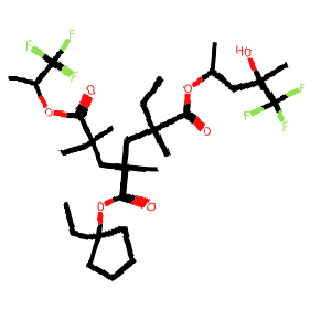 CCC1(OC(=O)C(C)(CC(C)(C)C(=O)OC(C)C(F)(F)F)CC(C)(CC)C(=O)OC(C)CC(C)(O)C(F)(F)F)CCCC1